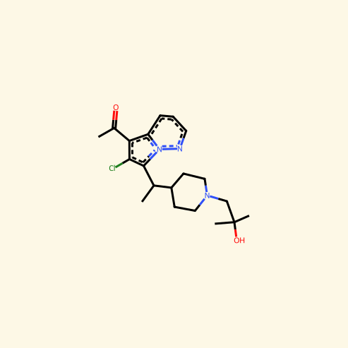 CC(=O)c1c(Cl)c(C(C)C2CCN(CC(C)(C)O)CC2)n2ncccc12